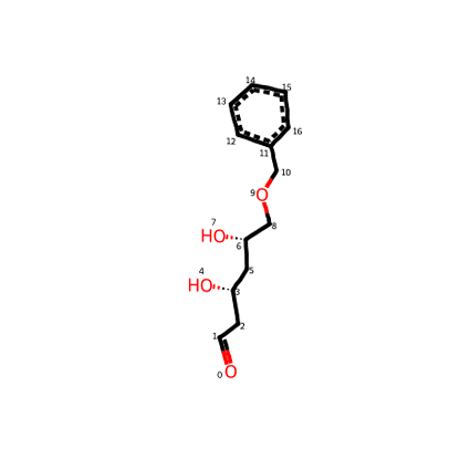 O=CC[C@H](O)C[C@H](O)COCc1ccccc1